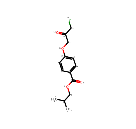 CC(C)COC(=O)c1ccc(OCC(=O)CBr)cc1